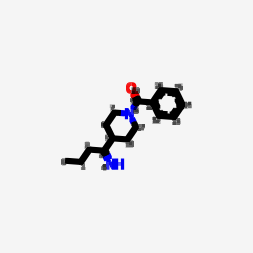 CCCC(=N)C1CCN(C(=O)c2cc[c]cc2)CC1